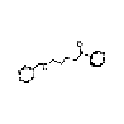 O=C(CCCCOCc1ccccc1)c1ccccc1